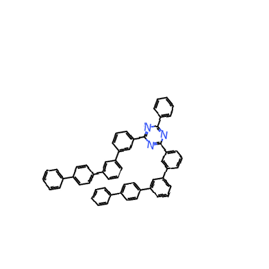 c1ccc(-c2ccc(-c3cccc(-c4cccc(-c5nc(-c6ccccc6)nc(-c6cccc(-c7cccc(-c8ccc(-c9ccccc9)cc8)c7)c6)n5)c4)c3)cc2)cc1